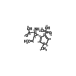 C=CC1CC1(N)C(=O)O.Cc1ccc(S(=O)(=O)O)cc1